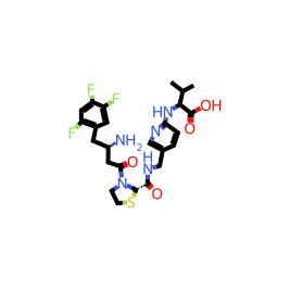 CC(C)C(Nc1ccc(CNC(=O)[C@@H]2SCCN2C(=O)C[C@H](N)Cc2cc(F)c(F)cc2F)cn1)C(=O)O